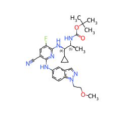 COCCn1ncc2cc(Nc3nc(N[C@H](C4CC4)[C@H](C)NC(=O)OC(C)(C)C)c(F)cc3C#N)ccc21